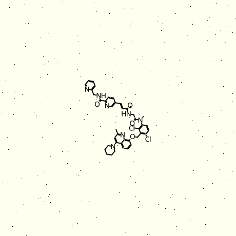 Cc1cc(N2CCCCC2)c2cccc(OCc3c(Cl)ccc(N(C)C(=O)CNC(=O)C=Cc4ccc(C(=O)NCc5ccccn5)nc4)c3Cl)c2n1